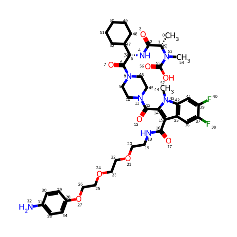 C[C@@H](C(=O)N[C@H](C(=O)N1CCN(C(=O)c2c(C(=O)NCCOCCOCCOc3ccc(N)cc3)c3cc(F)c(F)cc3n2C)CC1)C1CCCCC1)N(C)C(=O)O